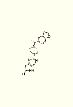 CC(c1ccc2c(c1)OCO2)N1CCN(c2ncc3c(n2)CC(=O)N3)CC1